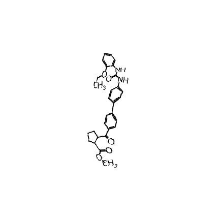 CCOc1ccccc1NC(=O)Nc1ccc(-c2ccc(C(=O)C3CCCC3C(=O)OC)cc2)cc1